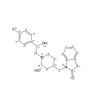 Cl.O=c1sc2ccccc2n1CC1CCN(CC(O)c2ccc(F)cc2)CC1